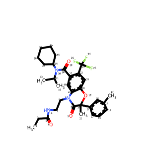 CCC(=O)NCCN1C(=O)C(C)(c2cccc(C)c2)Oc2cc(C(F)(F)F)c(C(=O)N(C(C)C)C3CCCCC3)cc21